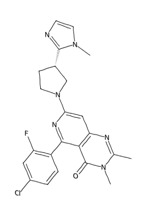 Cc1nc2cc(N3CC[C@H](c4nccn4C)C3)nc(-c3ccc(Cl)cc3F)c2c(=O)n1C